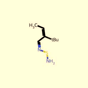 C/C=C(\C=N/SN)C(C)(C)C